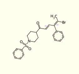 C/C(Br)=C(\C=C\C(=O)C1CCN(S(=O)(=O)c2ccccc2)CC1)c1ccccc1